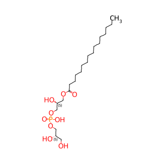 CCCCCCCCCCCCCCCC(=O)OC[C@H](O)COP(=O)(O)OC[C@@H](O)CO